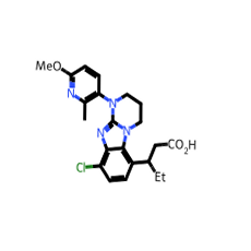 CCC(CC(=O)O)c1ccc(Cl)c2nc3n(c12)CCCN3c1ccc(OC)nc1C